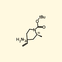 C=C[C@@]1(N)CCN(C(=O)OC(C)(C)C)[C@@H](C)C1